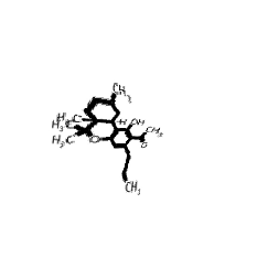 CCCc1cc2c(c(O)c1C(C)=O)[C@@H]1CC(C)CC[C@@]1(C)C(C)(C)O2